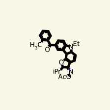 CCN1c2ccc(C(=O)c3ccccc3C)cc2C2C3=C(C=CC21)/C(=N/OC(C)=O)C(C(C)C)O3